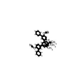 CC12CC3(c4ccc(OC#N)c(C5CCCCC5)c4)CC(c4ccc(OC#N)c(C5CCCCC5)c4)(C1)CC(C(C)(C)C)(C2)C3